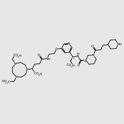 O=C(O)C[C@H](NC(=O)[C@@H]1CCCN(C(=O)CCC2CCNCC2)C1)c1cncc(OCCNC(=O)CCC(C(=O)O)N2CCN(CC(=O)O)CCN(CC(=O)O)CC2)c1